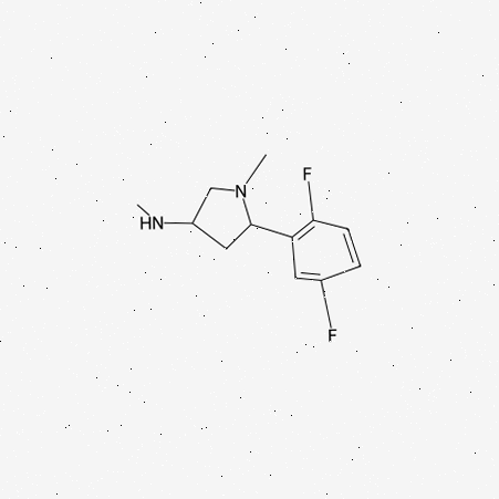 CNC1CC(c2cc(F)ccc2F)N(C)C1